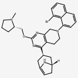 CN1CCC[C@H]1COc1nc2c(c([C@@H]3CC4=CC[C@@H](C3)N4)n1)CCN(c1cccc3cccc(Br)c13)C2